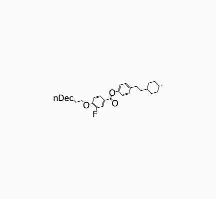 CCCCCCCCCCCCOc1ccc(C(=O)Oc2ccc(CCC3CC[CH]CC3)cc2)cc1F